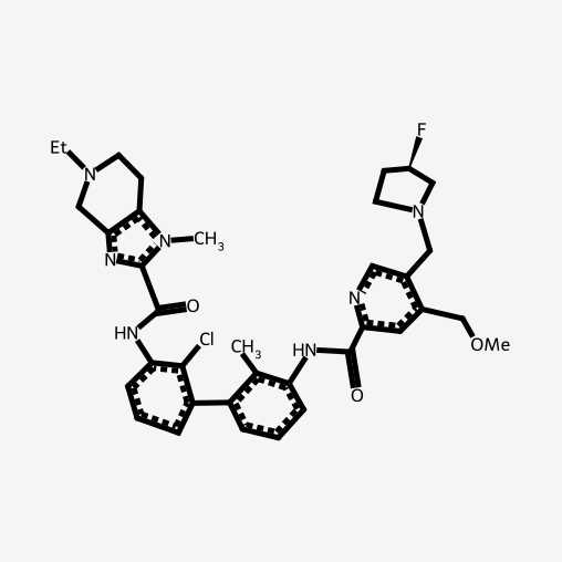 CCN1CCc2c(nc(C(=O)Nc3cccc(-c4cccc(NC(=O)c5cc(COC)c(CN6CC[C@@H](F)C6)cn5)c4C)c3Cl)n2C)C1